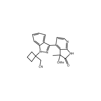 COC1(C)C(=O)Nc2nccc(-c3nn(C4(CC#N)CCC4)c4ccccc34)c21